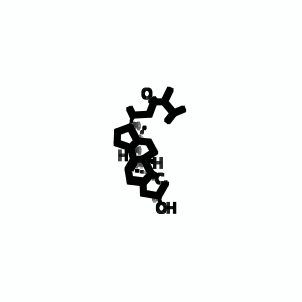 CC(C)C(C)C(=O)CC(C)[C@H]1CC[C@H]2C3=CC=C4C[C@@H](O)CC[C@]4(C)[C@H]3CC[C@]12C